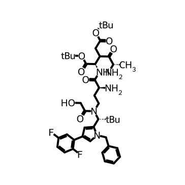 C[C@H](N)C(=O)C(CC(=O)OC(C)(C)C)[C@H](NC(=O)[C@@H](N)CCN(C(=O)CO)[C@@H](c1cc(-c2cc(F)ccc2F)cn1Cc1ccccc1)C(C)(C)C)C(=O)OC(C)(C)C